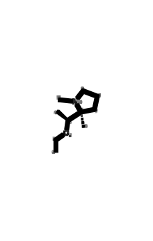 CCO[C@@H](C)[C@]1(C)CCCN1C